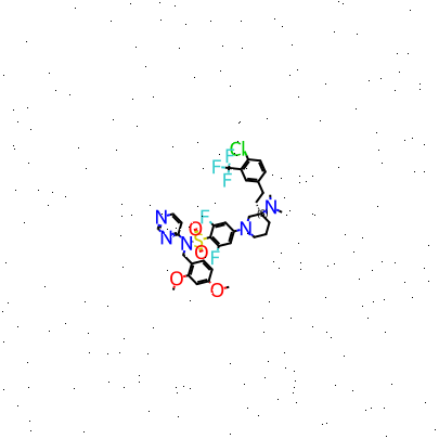 COc1ccc(CN(c2ccncn2)S(=O)(=O)c2c(F)cc(N3CCC[C@](CCc4ccc(Cl)c(C(F)(F)F)c4)(N(C)C)C3)cc2F)c(OC)c1